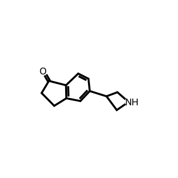 O=C1CCc2cc(C3CNC3)ccc21